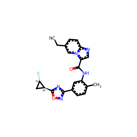 Cc1ccc(-c2noc([C@H]3C[C@@H]3F)n2)cc1NC(=O)c1cnc2ccc(CC#N)cn12